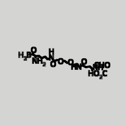 BC(=O)C(N)CCCCNC(=O)COCCOCCNC(=O)CCC(NC=O)C(=O)O